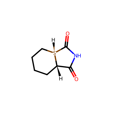 O=C1NC(=O)[S@H]2CCCC[C@@H]12